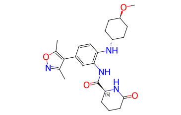 CO[C@H]1CC[C@H](Nc2ccc(-c3c(C)noc3C)cc2NC(=O)[C@@H]2CCCC(=O)N2)CC1